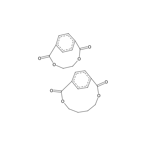 O=C1OCCCCOC(=O)c2ccc1cc2.O=C1OCCOC(=O)c2ccc1cc2